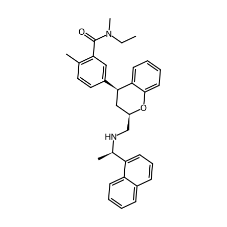 CCN(C)C(=O)c1cc([C@@H]2C[C@H](CN[C@H](C)c3cccc4ccccc34)Oc3ccccc32)ccc1C